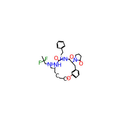 CC(F)(F)CNC[C@@H]1CCCCOc2cccc(c2)C[C@H](N2CCCC2=O)C(=O)N[C@@H](CCc2ccccc2)C(=O)N1